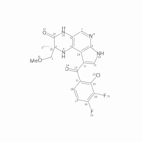 COC[C@]1(C)Nc2c(cnc3[nH]cc(C(=O)c4ccc(F)c(F)c4Cl)c23)NC1=O